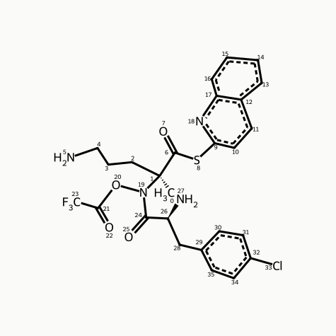 C[C@](CCCN)(C(=O)Sc1ccc2ccccc2n1)N(OC(=O)C(F)(F)F)C(=O)[C@@H](N)Cc1ccc(Cl)cc1